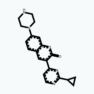 O=c1oc2cc(N3CCNCC3)ccc2cc1-c1ccnc(C2CC2)n1